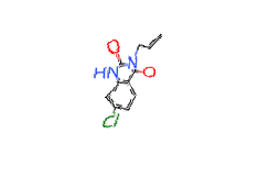 C=CCn1c(=O)[nH]c2cc(Cl)ccc2c1=O